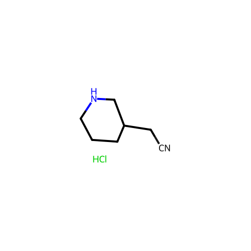 Cl.N#CCC1CCCNC1